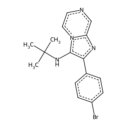 CC(C)(C)Nc1c(-c2ccc(Br)cc2)nc2cnccn12